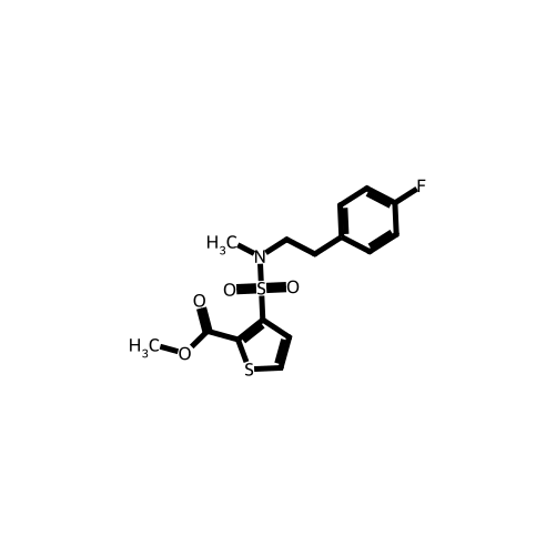 COC(=O)c1sccc1S(=O)(=O)N(C)CCc1ccc(F)cc1